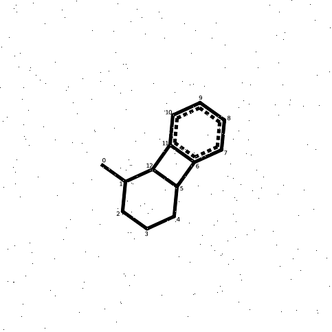 CC1[CH]CC[C]2c3ccccc3C21